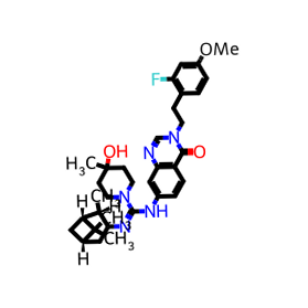 COc1ccc(CCn2cnc3cc(N/C(=N/C4C[C@@H]5C[C@H]([C@@H]4C)C5(C)C)N4CCC(C)(O)CC4)ccc3c2=O)c(F)c1